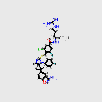 CC(C)(c1ccc2onc(N)c2c1)c1cnc(SCc2c(F)cc(C(=O)NC(CCCNC(=N)N)C(=O)O)cc2Cl)n1-c1ccc(F)cc1